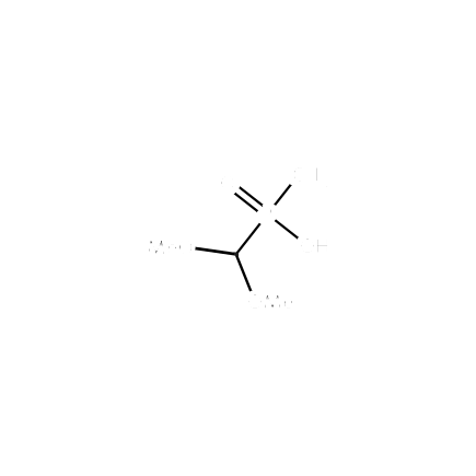 COC(OC)P(C)(=O)O